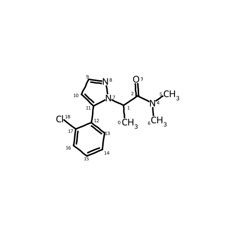 CC(C(=O)N(C)C)n1nccc1-c1ccccc1Cl